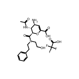 CC(=O)N[C@@H]1[C@@H](N)C=C(C(=O)O)O[C@H]1C(=O)N(CCO)CCc1ccccc1.O=C(O)C(F)(F)F